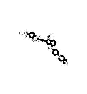 COc1cc(S(N)(=O)=O)ccc1NCC#Cc1cc2c(NC3CCC(N4CCC5(CC4)COC5)CC3)cccc2n1CC(F)(F)F